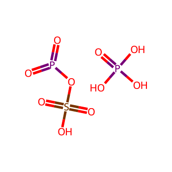 O=P(=O)OS(=O)(=O)O.O=P(O)(O)O